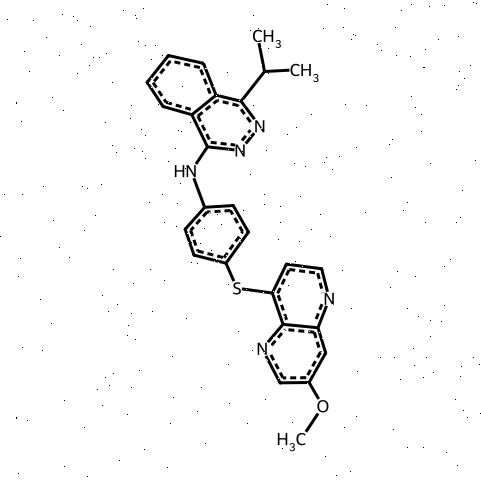 COc1cnc2c(Sc3ccc(Nc4nnc(C(C)C)c5ccccc45)cc3)ccnc2c1